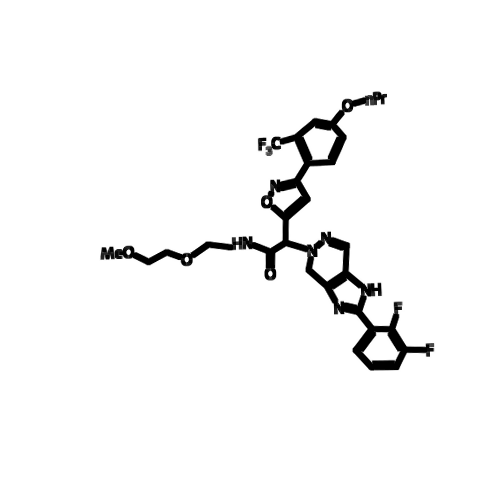 CCCOc1ccc(-c2cc(C(C(=O)NCCOCCOC)N3Cc4nc(-c5cccc(F)c5F)[nH]c4C=N3)on2)c(C(F)(F)F)c1